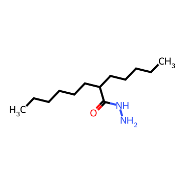 CCCCCCC(CCCCC)C(=O)NN